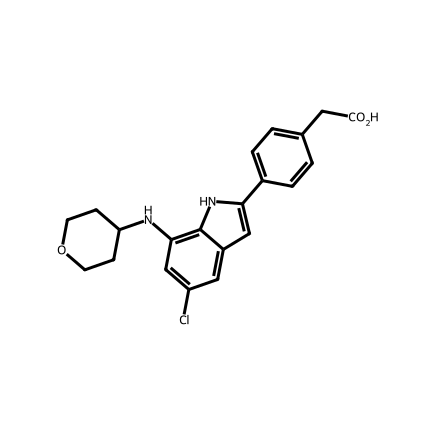 O=C(O)Cc1ccc(-c2cc3cc(Cl)cc(NC4CCOCC4)c3[nH]2)cc1